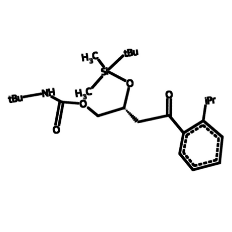 CC(C)c1ccccc1C(=O)C[C@H](COC(=O)NC(C)(C)C)O[Si](C)(C)C(C)(C)C